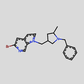 CC1CC(Cn2ccc3cc(Br)ncc32)CN1Cc1ccccc1